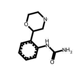 NC(=O)Nc1ccccc1C1C[N]CCO1